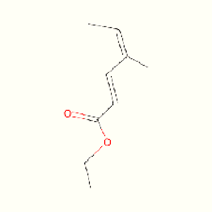 CC=C(C)C=CC(=O)OCC